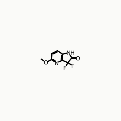 COc1ccc2c(n1)C(F)(F)C(=O)N2